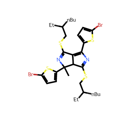 CCCCC(CC)CSC1=NC(C)(c2ccc(Br)s2)C2C(SCC(CC)CCCC)=NC(c3ccc(Br)s3)=C12